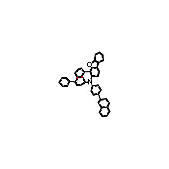 c1ccc(-c2ccc(N(c3ccc(-c4ccc5ccccc5c4)cc3)c3ccc4c(oc5ccccc54)c3-c3ccccc3)cc2)cc1